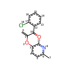 C=C(Oc1ccc(C)nc1)C(=O)c1ccccc1Cl